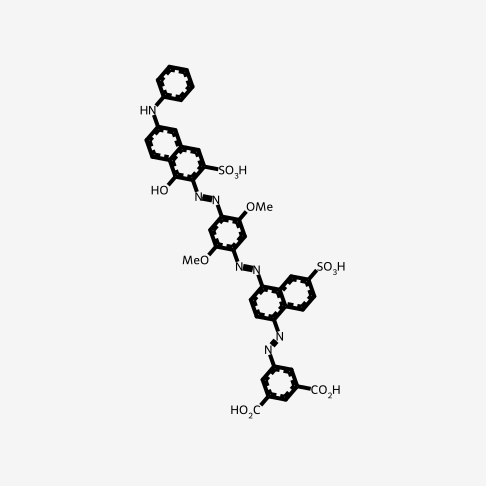 COc1cc(N=Nc2ccc(N=Nc3cc(C(=O)O)cc(C(=O)O)c3)c3ccc(S(=O)(=O)O)cc23)c(OC)cc1N=Nc1c(S(=O)(=O)O)cc2cc(Nc3ccccc3)ccc2c1O